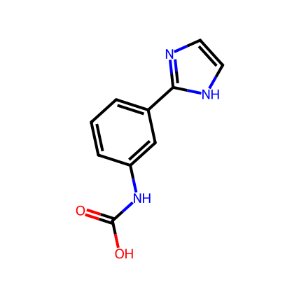 O=C(O)Nc1cccc(-c2ncc[nH]2)c1